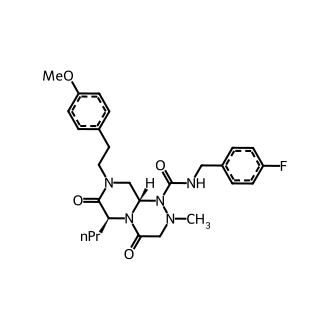 CCC[C@H]1C(=O)N(CCc2ccc(OC)cc2)C[C@H]2N1C(=O)CN(C)N2C(=O)NCc1ccc(F)cc1